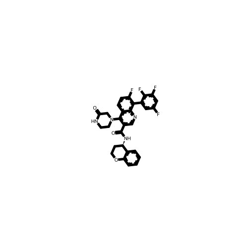 O=C1CN(c2c(C(=O)N[C@H]3CCOc4ccccc43)cnc3c(-c4cc(F)cc(F)c4F)c(F)ccc23)CCN1